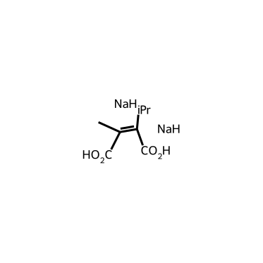 C/C(C(=O)O)=C(/C(=O)O)C(C)C.[NaH].[NaH]